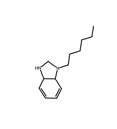 CCCCCCN1[C]NC2C=CC=CC21